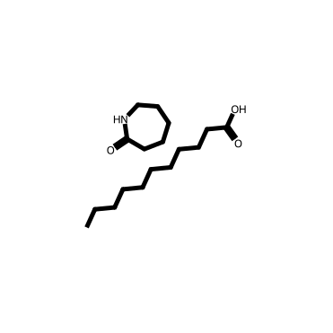 CCCCCCCCCCC(=O)O.O=C1CCCCCN1